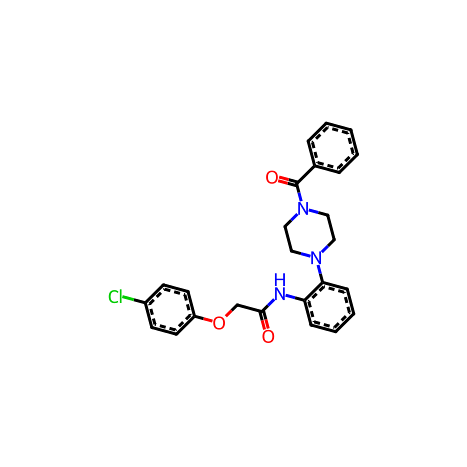 O=C(COc1ccc(Cl)cc1)Nc1ccccc1N1CCN(C(=O)c2ccccc2)CC1